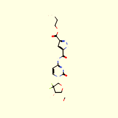 CCCCCCCCCCCCOC(=O)c1cc(C(=O)Nc2ccn([C@@H]3O[C@H](CO)[C@@H](O)C3(F)F)c(=O)n2)[nH]n1